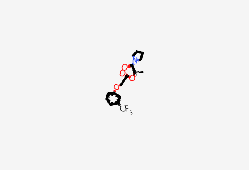 C[C@@H](OC(=O)COc1cccc(C(F)(F)F)c1)C(=O)N1CCCC1